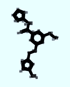 Cc1cc(COc2cc(OC(C)C)cc(C(=O)Nc3nccs3)c2)no1